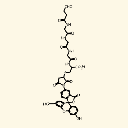 O=CCCC(=O)NCC(=O)NCC(=O)NCC(=O)NC(CSC1CC(=O)N(c2ccc3c(c2)C(=O)OC32c3ccc(O)cc3Oc3cc(O)ccc32)C1=O)C(=O)O